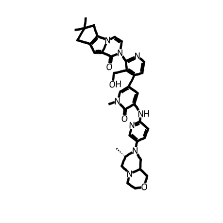 C[C@H]1CN2CCOCC2CN1c1ccc(Nc2cc(-c3ccnc(-n4ccn5c6c(cc5c4=O)CC(C)(C)C6)c3CO)cn(C)c2=O)nc1